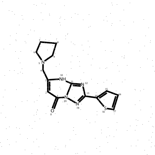 O=c1cc(CN2CCCC2)[nH]c2nc(-c3cccs3)nn12